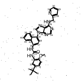 COc1ccc(C(C)(C)C)cc1NC(=O)Nc1ccc(-n2cnc3c(NCc4ccccn4)ncnc32)c2ccccc12